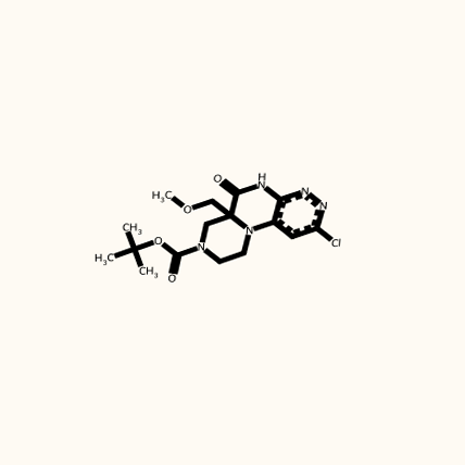 COCC12CN(C(=O)OC(C)(C)C)CCN1c1cc(Cl)nnc1NC2=O